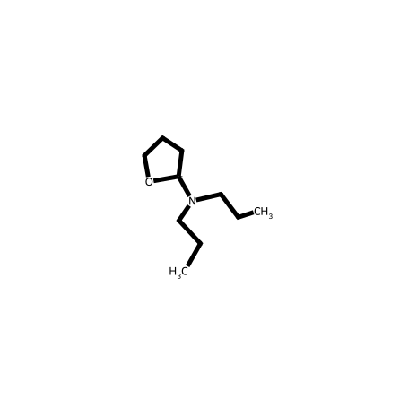 CCCN(CCC)[C]1CCCO1